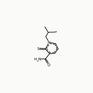 CC(C)Cn1cccc(C(N)=O)c1=S